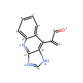 C=C([C]=O)c1c2ccccc2nc2nc[nH]c12